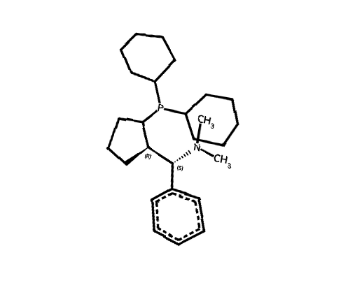 CN(C)[C@H](c1ccccc1)[C@H]1CCCC1P(C1CCCCC1)C1CCCCC1